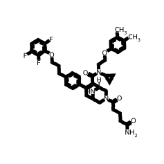 Cc1ccc(OCCN(C(=O)C2=C(c3ccc(CCCOc4c(F)ccc(F)c4F)cc3)CC3CN(C(=O)CCCC(N)=O)C[C@H]2N3)C2CC2)cc1C